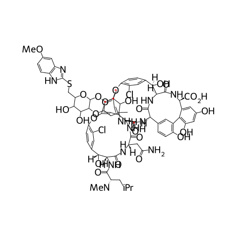 CN[C@@H](CC(C)C)C(=O)N[C@H]1C(=O)N[C@@H](CC(N)=O)C(=O)N[C@H]2C(=O)N[C@H]3C(=O)N[C@H](C(=O)N[C@@H](C(=O)O)c4cc(O)cc(O)c4-c4cc3ccc4O)[C@H](O)c3ccc(c(Cl)c3)Oc3cc2cc(c3OC2OC(CSc3nc4cc(OC)ccc4[nH]3)C(O)C(O)C2OC2CC(C)(N)C(O)C(C)O2)Oc2ccc(cc2Cl)[C@H]1O